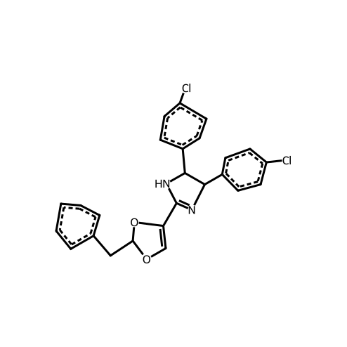 Clc1ccc(C2N=C(C3=COC(Cc4ccccc4)O3)NC2c2ccc(Cl)cc2)cc1